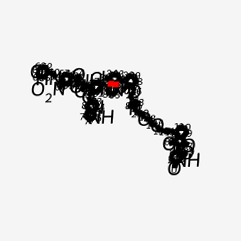 O=C1CCC(N2C(=O)c3cccc(C#CCOCCOCCN4CC(COc5cccc(-c6ccc(Cl)cc6)c5CN5CCN(c6ccc(C(=O)NS(=O)(=O)c7ccc(NCC8CCOCC8)c([N+](=O)[O-])c7)c(Oc7cnc8[nH]ccc8c7)c6)CC5)C4)c3C2=O)C(=O)N1